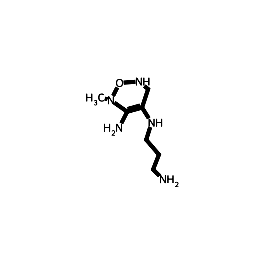 CN1ONCC(NCCCN)=C1N